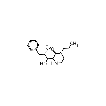 CCCN1CCNC([C@@H](O)[C@@H](N)Cc2ccccc2)C1=O